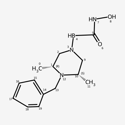 C[C@@H]1CN(BC(=O)NO)C[C@H](C)N1Cc1ccccc1